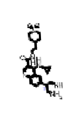 N=C/C(=C\N)c1ccc2ncc(C(=O)NCCC3CCS(=O)(=O)CC3)c(NC3CC3)c2c1